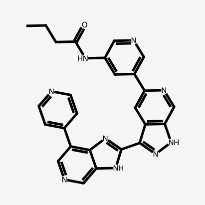 CCCC(=O)Nc1cncc(-c2cc3c(-c4nc5c(-c6ccncc6)cncc5[nH]4)n[nH]c3cn2)c1